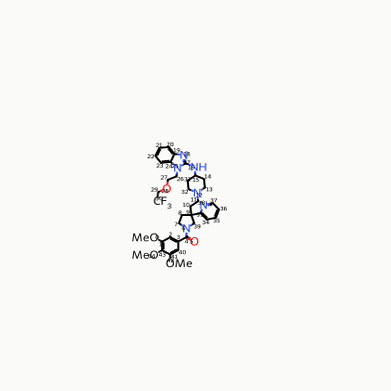 COc1cc(C(=O)N2CCC(CCN3CCC(Nc4nc5ccccc5n4CCOCC(F)(F)F)CC3)(c3ccccn3)C2)cc(OC)c1OC